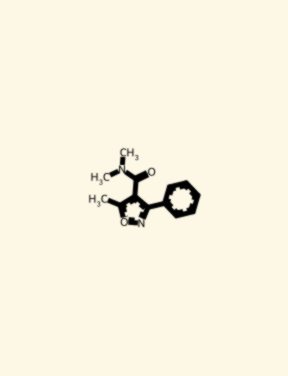 Cc1onc(-c2ccccc2)c1C(=O)N(C)C